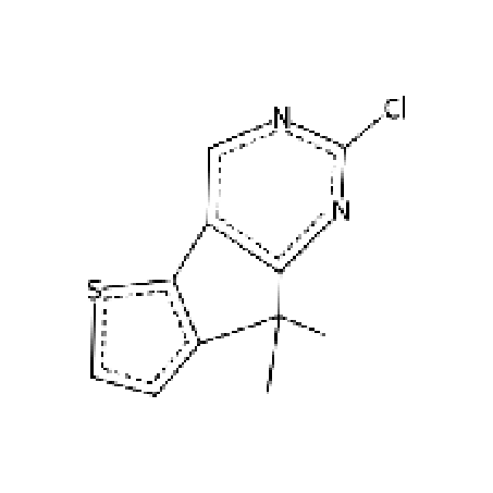 CC1(C)c2ccsc2-c2cnc(Cl)nc21